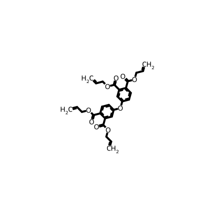 C=CCOC(=O)c1ccc(Oc2ccc(C(=O)OCC=C)c(C(=O)OCC=C)c2)cc1C(=O)OCC=C